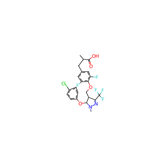 CC(Cc1cc(F)c(OCC2C(C(F)(F)F)=NN(C)C2Oc2ccc(Cl)cc2)c(F)c1)C(=O)O